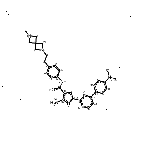 CN1CC2(C1)CN(CCc1ccc(NC(=O)c3cn(-c4nccc(-c5ccc(N(C)C)cc5)n4)nc3N)cc1)C2